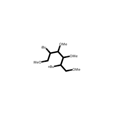 CCCCC(COC)C(OC)C(OC)C(COC)C(C)CC